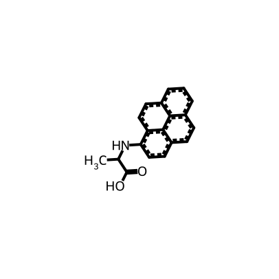 CC(Nc1ccc2ccc3cccc4ccc1c2c34)C(=O)O